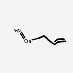 C=C[CH2][Os]=[NH]